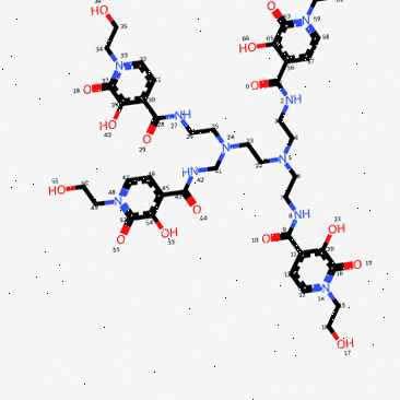 O=C(NCCN(CCNC(=O)c1ccn(CCO)c(=O)c1O)CCN(CCNC(=O)c1ccn(CCO)c(=O)c1O)CNC(=O)c1ccn(CCO)c(=O)c1O)c1ccn(CCO)c(=O)c1O